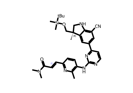 Cc1nc(/C=C/C(=O)N(C)C)ccc1Nc1nccc(-c2cc(C#N)c3c(c2)[C@@](C)(CO[Si](C)(C)C(C)(C)C)CN3)n1